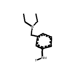 CCN(CC)Cc1cccc(NF)c1